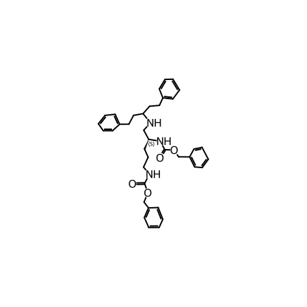 O=C(NCCC[C@@H](CNC(CCc1ccccc1)CCc1ccccc1)NC(=O)OCc1ccccc1)OCc1ccccc1